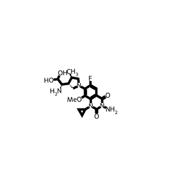 COc1c(N2C[C@H]([C@H](N)C(O)O)[C@@H](C)C2)c(F)cc2c(=O)n(N)c(=O)n(C3CC3)c12